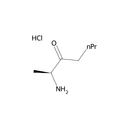 CCCCC(=O)[C@H](C)N.Cl